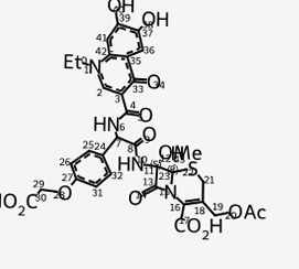 CCn1cc(C(=O)NC(C(=O)N[C@]2(OC)C(=O)N3C(C(=O)O)=C(COC(C)=O)CS[C@@H]32)c2ccc(OCC(=O)O)cc2)c(=O)c2cc(O)c(O)cc21